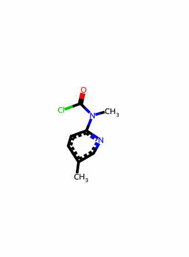 Cc1ccc(N(C)C(=O)Cl)nc1